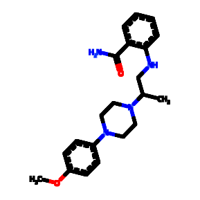 COc1ccc(N2CCN(C(C)CNc3ccccc3C(N)=O)CC2)cc1